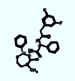 CN1CCO[C@H](c2ccccc2)[C@H](NC(=O)[C@@H](NC(=O)Cc2cc(F)cc(F)c2)c2ccccc2)C1=O